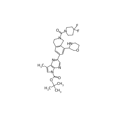 Cc1cn(C(=O)OC(C)(C)C)c2ncc(-c3cc4c(c(C5COCCN5)c3)CN(C(=O)N3CCC(F)(F)CC3)CC4)nc12